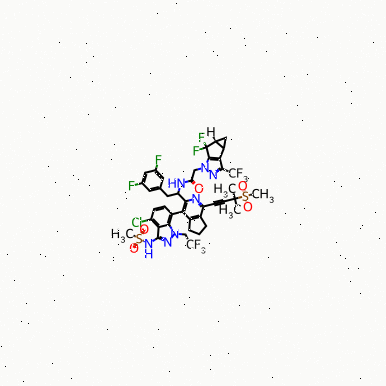 CC(C)(C#Cc1nc(C(Cc2cc(F)cc(F)c2)NC(=O)Cn2nc(C(F)(F)F)c3c2C(F)(F)[C@@H]2CC32)c(-c2ccc(Cl)c3c(NS(C)(=O)=O)nn(CC(F)(F)F)c23)c2c1CCC2)S(C)(=O)=O